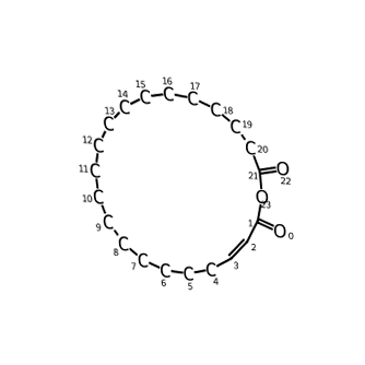 O=C1C=CCCCCCCCCCCCCCCCCCC(=O)O1